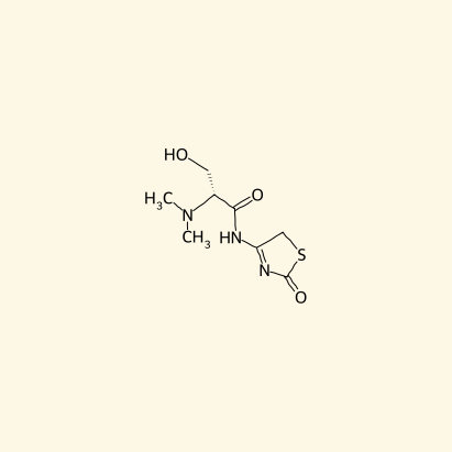 CN(C)[C@H](CO)C(=O)NC1=NC(=O)SC1